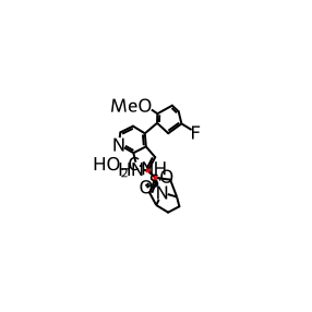 COc1ccc(F)cc1-c1ccnc2[nH]c(C3=CC4CCC(C3)N4S(=O)(=O)NC(=O)O)cc12